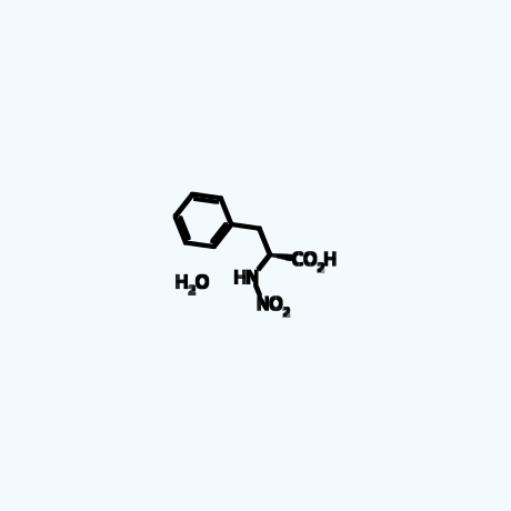 O.O=C(O)[C@H](Cc1ccccc1)N[N+](=O)[O-]